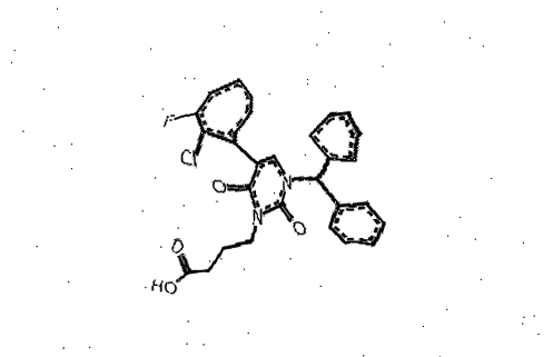 O=C(O)CCCn1c(=O)c(-c2cccc(F)c2Cl)cn(C(c2ccccc2)c2ccccc2)c1=O